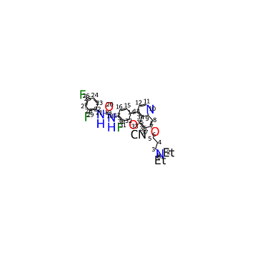 CCN(CC)CCCOc1cc2nccc(C3C=CC(NC(=O)Nc4ccc(F)cc4F)=C(F)C3=O)c2cc1C#N